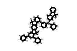 CC1(C)c2ccccc2-c2ccc(N(c3ccccc3)c3cccc(-c4cccc5c4-c4cc6c(cc4C5(C)C)-c4cc(-c5ccccc5)cc(-c5ccccc5)c4C6(C)C)c3)cc21